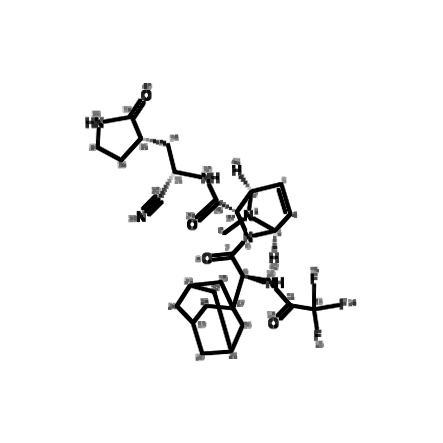 CN1[C@@H]2C=C[C@H]1N(C(=O)[C@@H](NC(=O)C(F)(F)F)C13CC4CC(CC(C4)C1)C3)[C@@H]2C(=O)N[C@H](C#N)C[C@@H]1CCNC1=O